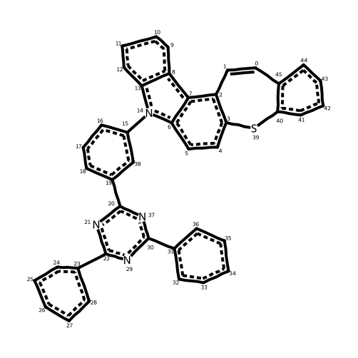 C1=Cc2c(ccc3c2c2ccccc2n3-c2cccc(-c3nc(-c4ccccc4)nc(-c4ccccc4)n3)c2)Sc2ccccc21